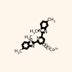 Cc1ccc2c(c1)nc(-c1cccc(-c3nc4cc(C)ccc4n3C)n1)n2C.[Cl-].[Cl-].[Cl-].[Co+3]